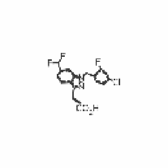 O=C(O)C=Cc1nn(Cc2ccc(Cl)cc2F)c2cc(C(F)F)ccc12